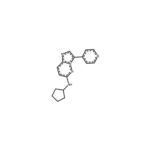 c1cc(-c2cnc3ccc(NC4CCCC4)nn23)ccn1